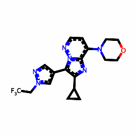 FC(F)(F)Cn1cc(-c2c(C3CC3)nc3c(N4CCOCC4)ccnn23)cn1